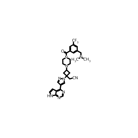 CN(C)Cc1cc(C(=O)N2CCN(C3CC(CC#N)(n4cc(-c5ncnc6[nH]ccc56)cn4)C3)CC2)cc(C(F)(F)F)c1